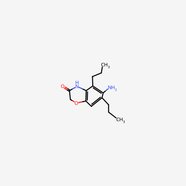 CCCc1cc2c(c(CCC)c1N)NC(=O)CO2